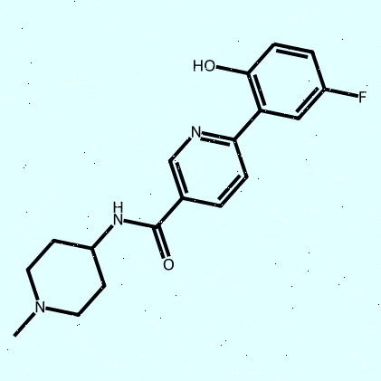 CN1CCC(NC(=O)c2ccc(-c3cc(F)ccc3O)nc2)CC1